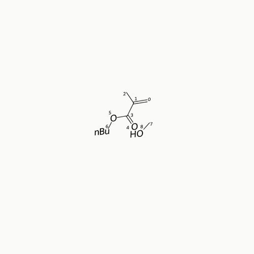 C=C(C)C(=O)OCCCC.CO